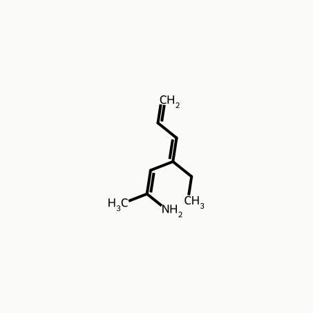 C=C/C=C(\C=C(\C)N)CC